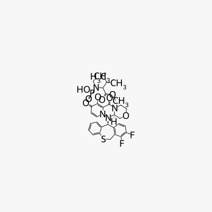 CCN(C(C(=O)OC)C(C)C)P(=O)(O)Oc1c2n(ccc1=O)N([C@@H]1c3ccccc3SCc3c1ccc(F)c3F)[C@@H]1COCCN1C2=O